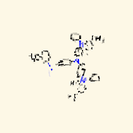 CC1=CC[C@H](C)C(N(c2ccccc2)c2ccc(N(c3ccc(Nc4cccc(C)c4)cc3)c3ccc(N(c4ccccc4)[C@]4(C)C=CC=C(C)C4)cc3)cc2)=C1